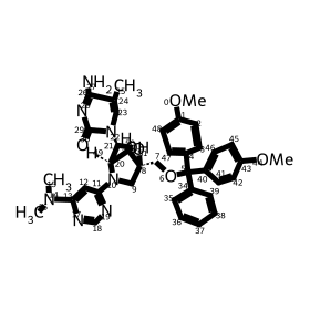 COc1ccc(C(OC[C@@]23CN(c4cc(N(C)C)ncn4)[C@@H]([C@H](n4cc(C)c(N)nc4=O)O2)[C@@H]3O)(c2ccccc2)c2ccc(OC)cc2)cc1